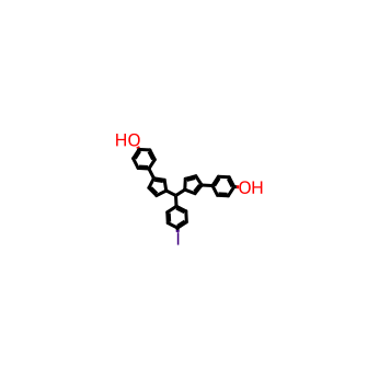 Oc1ccc(C2=CC(C(c3ccc(I)cc3)C3C=CC(c4ccc(O)cc4)=C3)C=C2)cc1